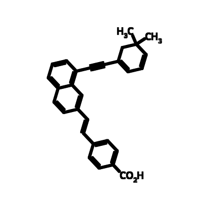 CC1(C)C=CC=C(C#Cc2cccc3ccc(/C=C/c4ccc(C(=O)O)cc4)cc23)C1